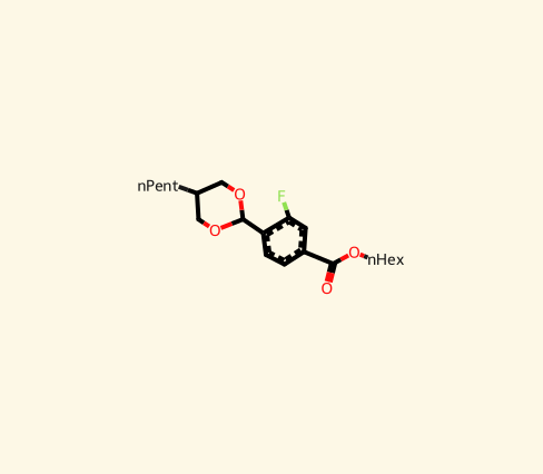 CCCCCCOC(=O)c1ccc(C2OCC(CCCCC)CO2)c(F)c1